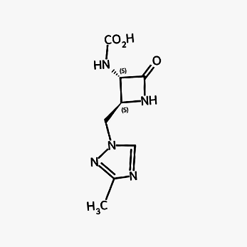 Cc1ncn(C[C@@H]2NC(=O)[C@H]2NC(=O)O)n1